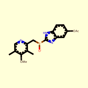 COc1c(C)cnc(C[S+]([O-])c2nc3cc(OC(C)=O)ccc3[nH]2)c1C